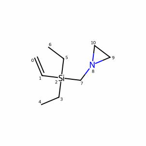 C=C[Si](CC)(CC)CN1CC1